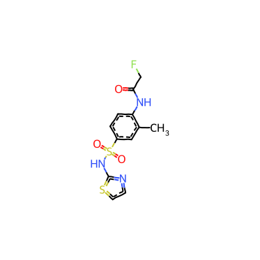 Cc1cc(S(=O)(=O)Nc2nccs2)ccc1NC(=O)CF